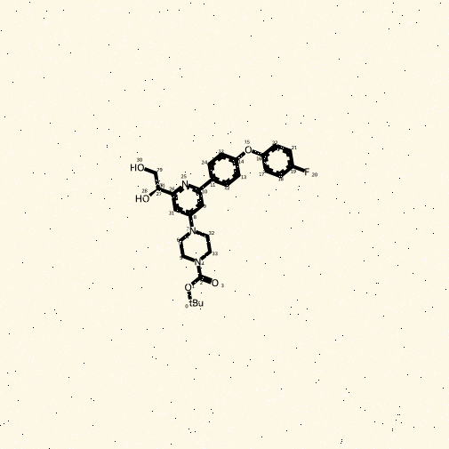 CC(C)(C)OC(=O)N1CCN(c2cc(-c3ccc(Oc4ccc(F)cc4)cc3)nc([C@@H](O)CO)c2)CC1